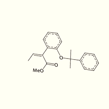 CC=C(C(=O)OC)c1ccccc1OC(C)(C)c1ccccc1